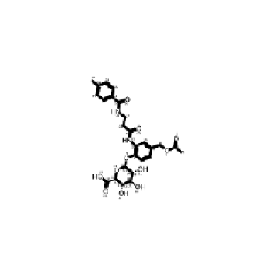 CC(=O)OCc1ccc(O[C@@H]2O[C@H](C(=O)O)[C@@H](O)[C@H](O)[C@H]2O)c(NC(=O)CCNC(=O)c2ccc(C)cc2)c1